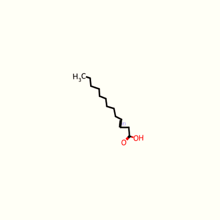 CCCCCCCCC/C=C/CC(=O)O